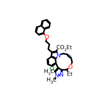 CCOC(=O)c1c(CCCOc2cccc3ccccc23)c2ccc(Cl)c3c2n1C/C=C\COC(CC)c1nn(C)c(C)c1-3